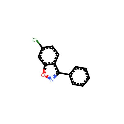 Clc1ccc2c(-c3cc[c]cc3)noc2c1